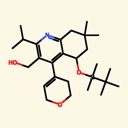 CC(C)c1nc2c(c(C3=CCOCC3)c1CO)C(O[Si](C)(C)C(C)(C)C)CC(C)(C)C2